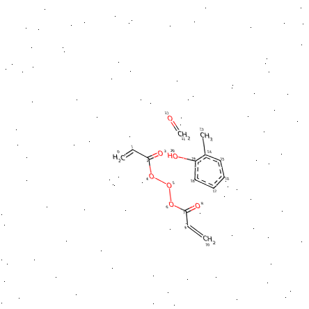 C=CC(=O)OOOC(=O)C=C.C=O.Cc1ccccc1O